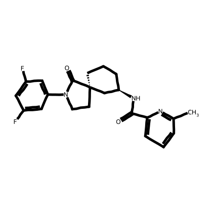 Cc1cccc(C(=O)N[C@@H]2CCC[C@@]3(CCN(c4cc(F)cc(F)c4)C3=O)C2)n1